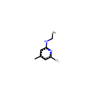 Cc1cc(NCC(C)(C)C)nc(C(F)(F)F)c1